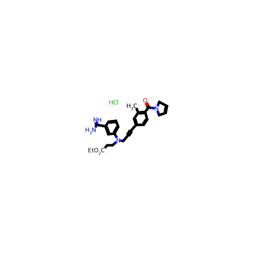 CCOC(=O)CCN(CC#Cc1ccc(C(=O)N2CC=CC2)c(C)c1)c1cccc(C(=N)N)c1.Cl